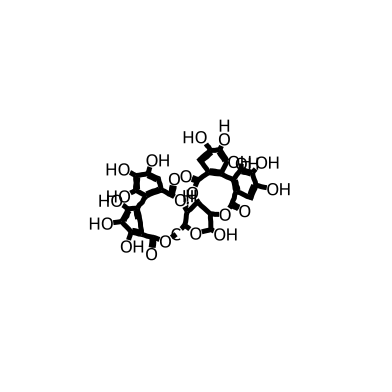 O=C1OCC2OC(O)C3OC(=O)c4cc(O)c(O)c(O)c4-c4c(cc(O)c(O)c4O)C(=O)O[C@@H]3[C@@H]2OC(=O)c2cc(O)c(O)c(O)c2-c2cc1c(O)c(O)c2O